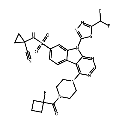 N#CC1(NS(=O)(=O)c2ccc3c4c(N5CCN(C(=O)C6(F)CCC6)CC5)ncnc4n(-c4nnc(C(F)F)s4)c3c2)CC1